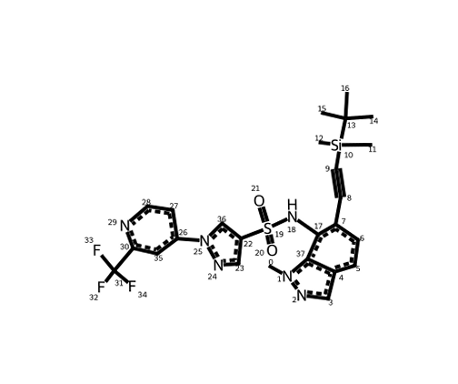 Cn1ncc2ccc(C#C[Si](C)(C)C(C)(C)C)c(NS(=O)(=O)c3cnn(-c4ccnc(C(F)(F)F)c4)c3)c21